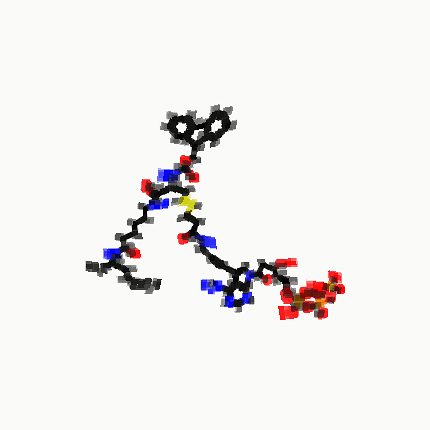 Nc1ncnc2c1c(C#CCNC(=O)CCSSCC(NC(=O)OCC1c3ccccc3-c3ccccc31)C(=O)NCCCCCC(=O)NC(CCC(=O)O)C(=O)O)cn2[C@H]1CC(O)[C@@H](COP(=O)(O)OP(=O)(O)OP(=O)(O)O)O1